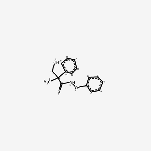 CC(CO)(C(=S)NOc1ccccc1)c1ccccc1